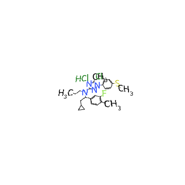 CCCN(c1nc(C)n(-c2ccc(SC)cc2Cl)n1)C(CC1CC1)c1ccc(C)c(F)c1.Cl